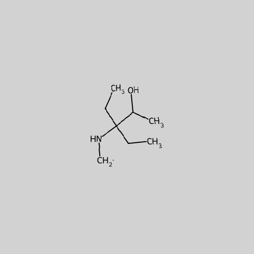 [CH2]NC(CC)(CC)C(C)O